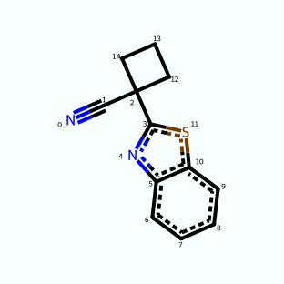 N#CC1(c2nc3ccccc3s2)CCC1